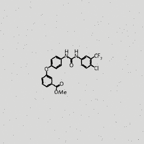 COC(=O)c1cccc(Oc2ccc(NC(=O)Nc3ccc(Cl)c(C(F)(F)F)c3)cc2)c1